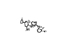 CNc1cc(OC)ccc1Nc1nc(Nc2cccc(F)c2F)ncc1Cl